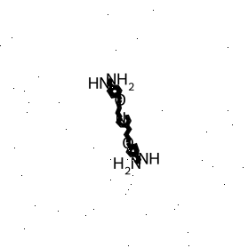 N=C(N)c1ccc(OCCCC2CCN(CCCOc3ccc(C(=N)N)cc3)CC2)cc1